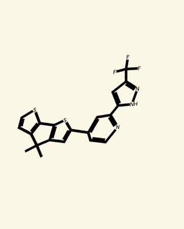 CC1(C)c2ccsc2-c2sc(-c3ccnc(-c4cc(C(F)(F)F)n[nH]4)c3)cc21